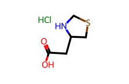 Cl.O=C(O)CC1CSCN1